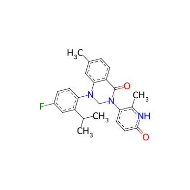 Cc1ccc2c(c1)N(c1ccc(F)cc1C(C)C)CN(c1ccc(=O)[nH]c1C)C2=O